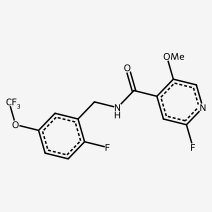 COc1cnc(F)cc1C(=O)NCc1cc(OC(F)(F)F)ccc1F